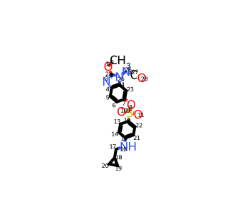 COc1nc2ccc(OS(=O)(=O)c3ccc(NCC4CC4)cc3)cc2n1N=C=O